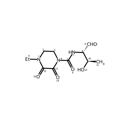 CCN1CCN(C(=O)N[C@H]([C]=O)[C@@H](C)O)C(=O)C1=O